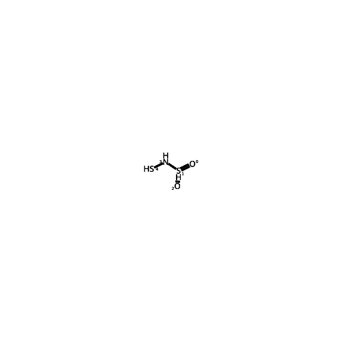 O=[SH](=O)NS